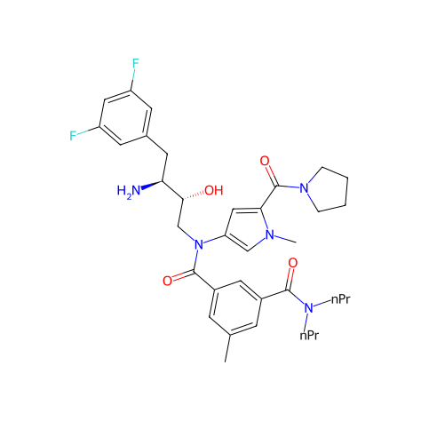 CCCN(CCC)C(=O)c1cc(C)cc(C(=O)N(C[C@@H](O)[C@@H](N)Cc2cc(F)cc(F)c2)c2cc(C(=O)N3CCCC3)n(C)c2)c1